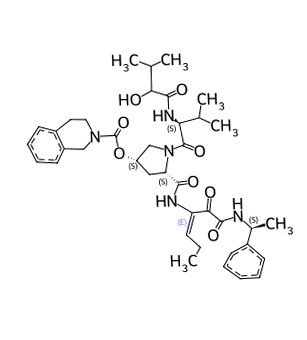 CC/C=C(/NC(=O)[C@@H]1C[C@H](OC(=O)N2CCc3ccccc3C2)CN1C(=O)[C@@H](NC(=O)C(O)C(C)C)C(C)C)C(=O)C(=O)N[C@@H](C)c1ccccc1